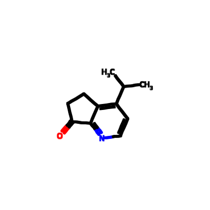 CC(C)c1ccnc2c1CCC2=O